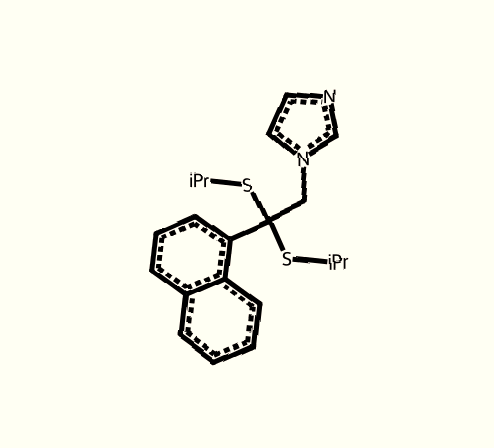 CC(C)SC(Cn1ccnc1)(SC(C)C)c1cccc2ccccc12